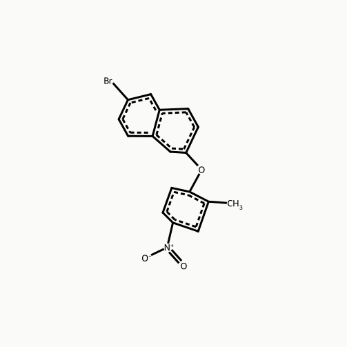 Cc1cc([N+](=O)[O-])ccc1Oc1ccc2cc(Br)ccc2c1